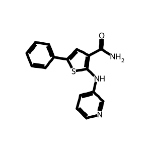 NC(=O)c1cc(-c2ccccc2)sc1Nc1cccnc1